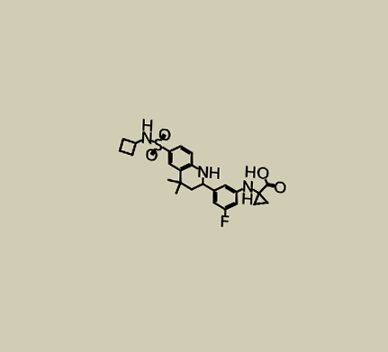 CC1(C)CC(c2cc(F)cc(NC3(C(=O)O)CC3)c2)Nc2ccc(S(=O)(=O)NC3CCC3)cc21